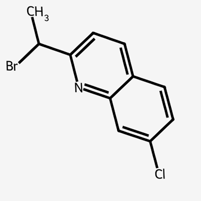 CC(Br)c1ccc2ccc(Cl)cc2n1